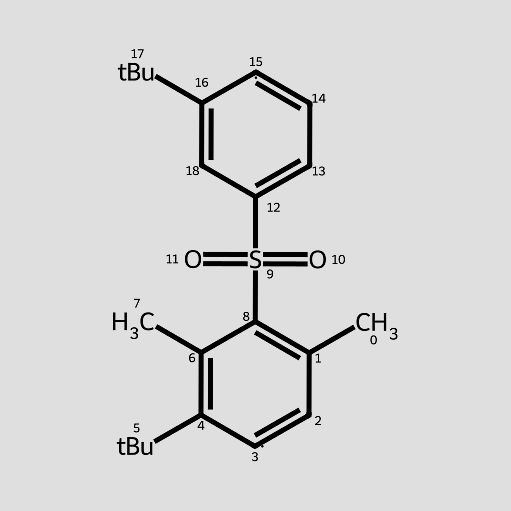 Cc1c[c]c(C(C)(C)C)c(C)c1S(=O)(=O)c1cc[c]c(C(C)(C)C)c1